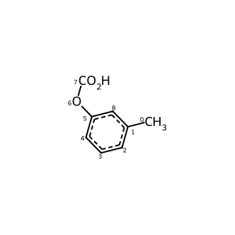 Cc1cccc(OC(=O)O)c1